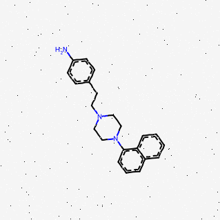 Nc1ccc(CCN2CCN(c3cccc4ccccc34)CC2)cc1